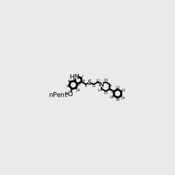 CCCCCOc1ccc2[nH]cc(CSCCN3CCC(c4ccccc4)CC3)c2c1